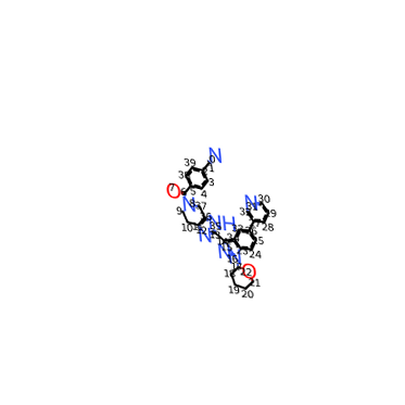 N#Cc1ccc(C(=O)N2CCc3nc(-c4nn(C5CCCCO5)c5ccc(-c6cccnc6)cc45)[nH]c3C2)cc1